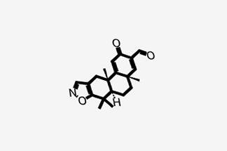 CC1(C)c2oncc2C[C@]2(C)C3=CC(=O)C(C=O)=C[C@]3(C)CC[C@@H]12